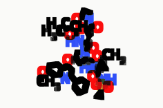 C=C[C@@H]1C[C@]1(NC(=O)[C@@H]1C[C@@H](Oc2cc(-c3ccccc3)nc3cc(OC)ccc23)CN1C(=O)[C@H](CCC(=O)N1CCC1=O)NC(=O)OC(C)(C)C)C(=O)NS(=O)(=O)C1CC1